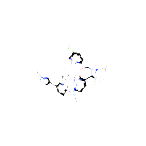 COc1nc(Nc2ccc3c(n2)O[C@H](c2ccc(F)cn2)CN(C)C3C)ccc1-c1cnn(C)c1